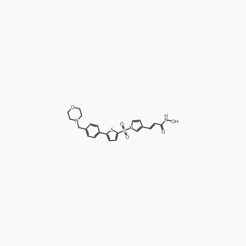 O=C(/C=C/c1ccn(S(=O)(=O)c2ccc(-c3ccc(CN4CCOCC4)cc3)s2)c1)NO